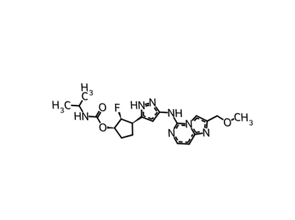 COCc1cn2c(Nc3cc([C@H]4CC[C@@H](OC(=O)NC(C)C)[C@H]4F)[nH]n3)nccc2n1